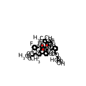 C[C@@H]1c2c(C(F)(F)F)nn(CC(=O)N[C@@H](Cc3cc(F)cc(F)c3)c3nc(CCC(C)(C)S(C)(=O)=O)ccc3-c3ccc(Cl)c4c(N(C(=O)c5ccccc5C(=O)OCOP(=O)(O)O)S(C)(=O)=O)nn(CC(F)(F)F)c34)c2C(F)(F)[C@@H]1C